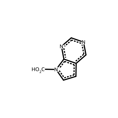 O=C(O)n1ccc2cncnc21